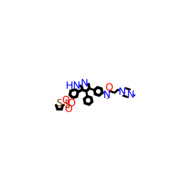 CN1CCN(CCC(=O)N(C)c2ccc(-c3cnc4[nH]c5ccc(OS(=O)(=O)c6cccs6)cc5c4c3-c3ccccc3)cc2)CC1